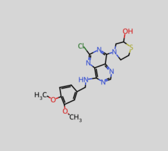 COc1ccc(CNc2ncnc3c(N4CCSC(O)C4)nc(Cl)nc23)cc1OC